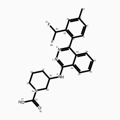 Cc1ccc(-c2nnc(NC3CCCN(C(=O)O)C3)c3ccccc23)c(C(F)F)c1